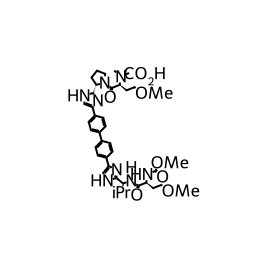 COCC[C@H](NC(=O)OC)C(=O)N[C@@H](c1nc(-c2ccc(-c3ccc(-c4c[nH]c([C@@H]5CCCN5C(=O)[C@H](CCOC)N(C)C(=O)O)n4)cc3)cc2)c[nH]1)C(C)C